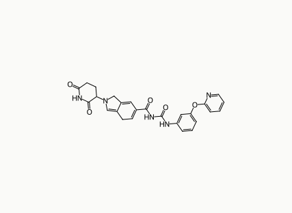 O=C1CCC(N2C=C3CC=C(C(=O)NC(=O)Nc4cccc(Oc5ccccn5)c4)C=C3C2)C(=O)N1